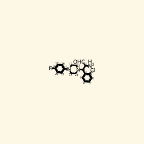 NC(C=O)C(c1ccccc1Cl)N1CCN(c2ccc(F)cc2)CC1